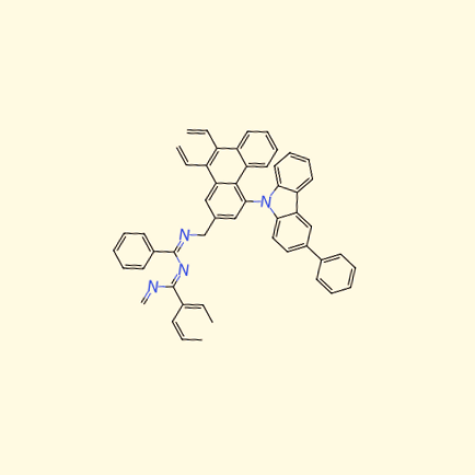 C=Cc1c(C=C)c2cc(C/N=C(\N=C(/N=C)C(=CC)/C=C\C)c3ccccc3)cc(-n3c4ccccc4c4cc(-c5ccccc5)ccc43)c2c2ccccc12